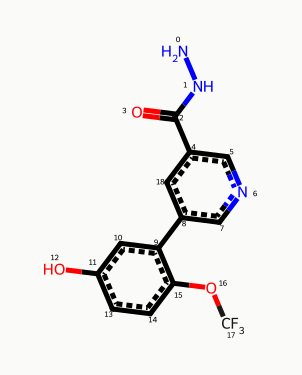 NNC(=O)c1cncc(-c2cc(O)ccc2OC(F)(F)F)c1